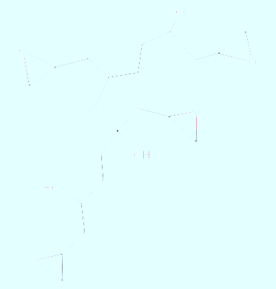 OC(CCC(CC1CO1)OC(O)(CCC(O)CC1CO1)CC1CO1)CC1CO1